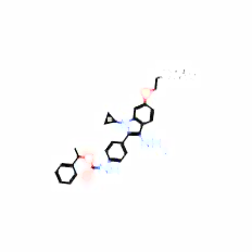 COCCOc1ccc2c(N)c(-c3ccc(NC(=O)OC(C)c4ccccc4)cc3)n(C3CC3)c2c1